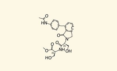 COC(=O)[C@H](CO)NC(=O)[C@H](CO)N1Cc2cccc(-c3ccc(NC(C)=O)cc3)c2C1=O